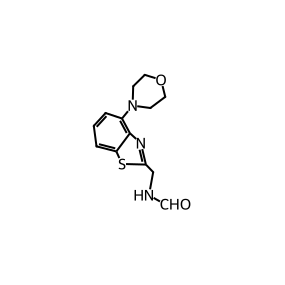 O=CNCc1nc2c(N3CCOCC3)cccc2s1